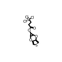 O=C(CC[Si](Cl)(Cl)Cl)OC1C2Oc3cscc3OC12